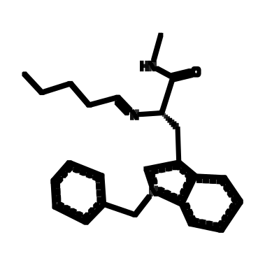 CCCC/C=N/[C@@H](Cc1cn(Cc2ccccc2)c2ccccc12)C(=O)NC